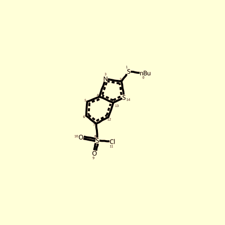 CCCCSc1nc2ccc(S(=O)(=O)Cl)cc2s1